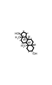 C[C@]12CC[C@@H](O)C[C@H]1CC[C@@H]1[C@@H]2CC[C@]2(C)[C@@H](O)CC[C@@H]12